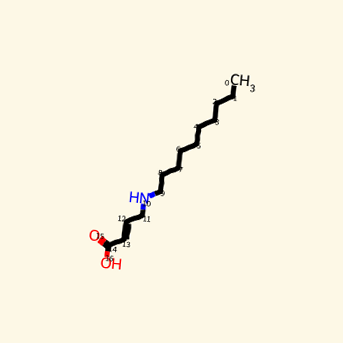 CCCCCCCCCCNCC=CC(=O)O